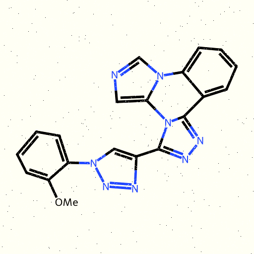 COc1ccccc1-n1cc(-c2nnc3c4ccccc4n4cncc4n23)nn1